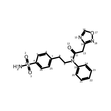 NS(=O)(=O)c1ccc(CCN(C(=O)Cc2ncon2)c2ccccc2)cc1